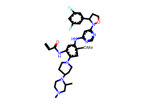 C=CC(=O)Nc1cc(Nc2cc(N3OCCC3c3cc(F)cc(F)c3)ncn2)c(OC)cc1N1CCC(N2CCN(C)CC2C)CC1